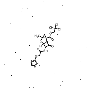 CC12CC1(C(=O)OCC(Cl)(Cl)Cl)N1C(=O)C(NC(=O)CSc3nncs3)[C@@H]1S2